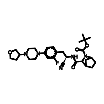 CC(C)(C)OC(=O)N1C2CCC(C2)C1C(=O)N[C@H](C#N)Cc1ccc(N2CCN(C3CCOC3)CC2)cc1F